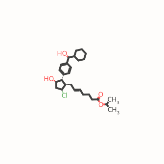 CC(C)OC(=O)CCCC=CC[C@@H]1[C@@H](c2ccc(C(O)C3CCCCC3)cc2)[C@H](O)C[C@H]1Cl